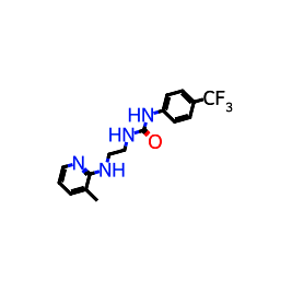 Cc1cccnc1NCCNC(=O)Nc1ccc(C(F)(F)F)cc1